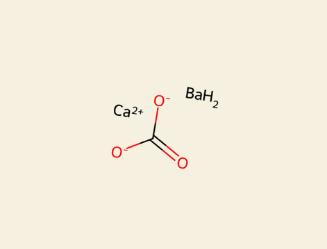 O=C([O-])[O-].[BaH2].[Ca+2]